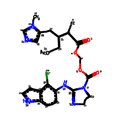 CCC(C(=O)OCOC(=O)N1CCN=C1Nc1ccc2[nH]ccc2c1Br)C(COC(C)=O)Cc1cncn1C